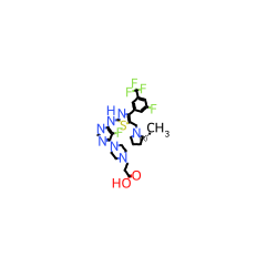 CC[C@@H]1CCCN1Cc1sc(Nc2ncnc(N3CCN(CCC(=O)O)CC3)c2F)nc1-c1cc(F)cc(C(F)(F)F)c1